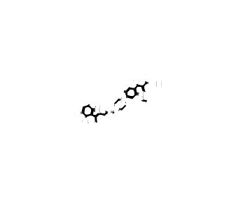 CCn1cc(C(=O)O)c(=O)c2cc(F)c(N3CCN(C(=O)OCc4c(C=O)c5c(n4C)C(=O)C=C(OC)C5=O)CC3)cc21